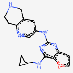 c1cc2nc(Nc3cnc4c(c3)CNCC4)nc(NC3CC3)c2o1